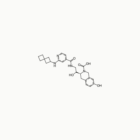 O=C(NCC(O)[C@@H]1Cc2ccc(O)cc2CN1C(=O)O)c1ccnc(NC2CC3(CCC3)C2)c1